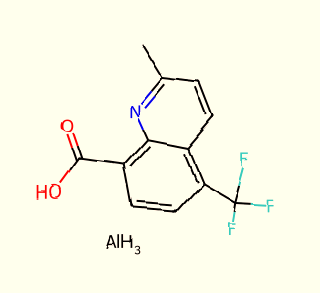 Cc1ccc2c(C(F)(F)F)ccc(C(=O)O)c2n1.[AlH3]